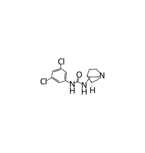 O=C(Nc1cc(Cl)cc(Cl)c1)N[C@@H]1CN2CCC1CC2